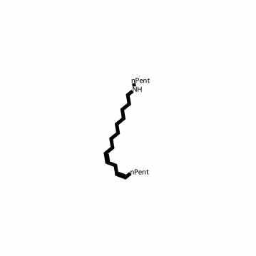 CCCCC/C=C\C/C=C\CCCCCCCCNCCCCC